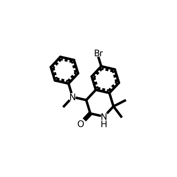 CN(c1ccccc1)C1C(=O)NC(C)(C)c2ccc(Br)cc21